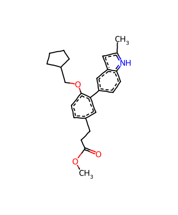 COC(=O)CCc1ccc(OCC2CCCC2)c(-c2ccc3[nH]c(C)cc3c2)c1